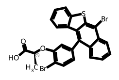 C[C@H](Oc1cc(-c2c3ccccc3c(Br)c3sc4ccccc4c23)ccc1Br)C(=O)O